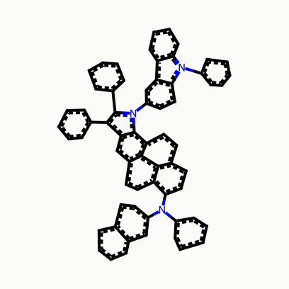 c1ccc(-c2c(-c3ccccc3)n(-c3ccc4c(c3)c3ccccc3n4-c3ccccc3)c3c2cc2ccc4c(N(c5ccccc5)c5ccc6ccccc6c5)ccc5ccc3c2c54)cc1